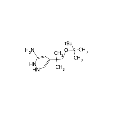 CC(C)(CO[Si](C)(C)C(C)(C)C)C1=CNNC(N)=C1